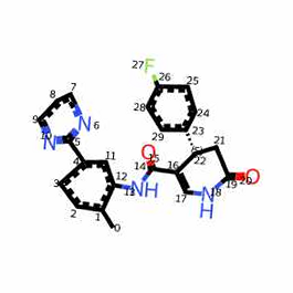 Cc1ccc(-c2ncccn2)cc1NC(=O)C1=CNC(=O)C[C@H]1c1ccc(F)cc1